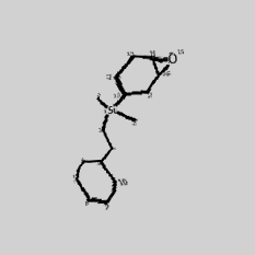 C[Si](C)(CCC1CCCCC1)C1CCC2OC2C1